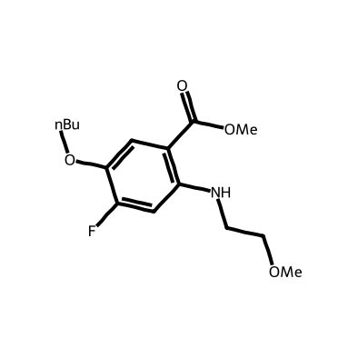 CCCCOc1cc(C(=O)OC)c(NCCOC)cc1F